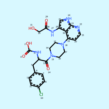 O=C(O)NC(Cc1ccc(Cl)cc1)C(=O)N1CCN(c2ccnc3[nH]cc(NC(=O)CO)c23)CC1